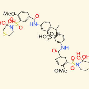 COc1ccc(C(=O)Nc2ccc(C(C)c3ccc(NC(=O)c4ccc(OC)c(S(=O)(=O)N5CCSCC5(O)O)c4)cc3S(=O)(=O)O)c(S(=O)(=O)O)c2)cc1S(=O)(=O)N1CCSCC1(O)O